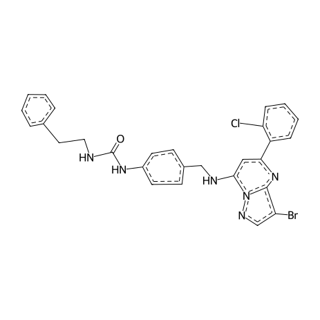 O=C(NCCc1ccccc1)Nc1ccc(CNc2cc(-c3ccccc3Cl)nc3c(Br)cnn23)cc1